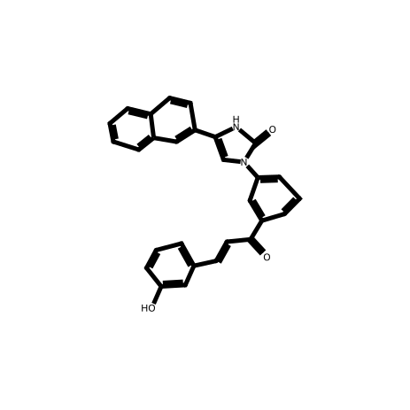 O=C(/C=C/c1cccc(O)c1)c1cccc(-n2cc(-c3ccc4ccccc4c3)[nH]c2=O)c1